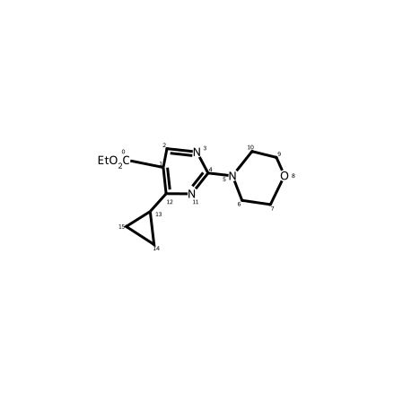 CCOC(=O)c1cnc(N2CCOCC2)nc1C1CC1